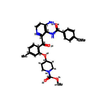 COc1ccc(C(=O)Nc2c(N)ccnc2C(=O)c2ccc(C(C)(C)C)cc2OC2CCN(C(=O)OC(C)(C)C)CC2)cc1